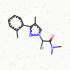 CCC(C(=O)N(C)C)n1cc(C)c(-c2ccccc2C)n1